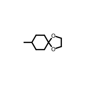 CC1CCC2(CC1)OCCO2